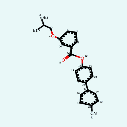 CCCCC(CC)COc1cccc(C(=O)Oc2ccc(-c3ccc(C#N)cc3)cc2)c1